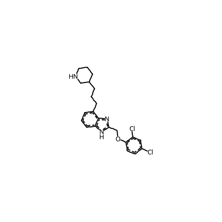 Clc1ccc(OCc2nc3c(CCCC4CCCNC4)cccc3[nH]2)c(Cl)c1